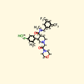 Cc1cc(F)ccc1C1CN(CC(=O)N2CCOCC2)CCC1C(=O)N(C)Cc1cc(C(F)(F)F)cc(C(F)(F)F)c1.Cl